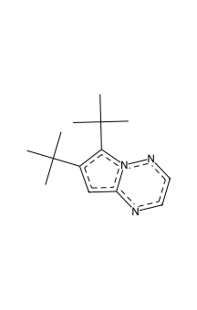 CC(C)(C)c1cc2nccnn2c1C(C)(C)C